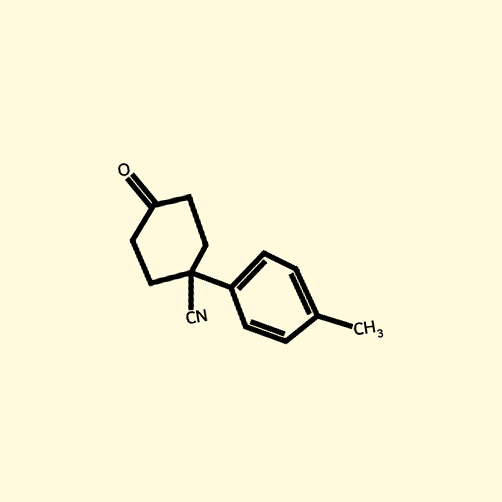 Cc1ccc(C2(C#N)CCC(=O)CC2)cc1